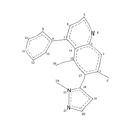 Cc1cc2nccc(-c3ccccc3)c2c(C)c1-c1ccnn1C